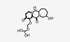 O=C1c2c(OCOP(O)O)c(=O)ccn2NC2CCCC(O)CN12